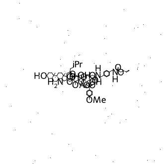 C=CCOC(=O)NCc1ccc(CNC(=O)OC2COC(OC3C(O)COC(OC4C[C@@]5(N)C6CC=C7CC(O)CCC7(C)C6CCC5(C)[C@@]4(O)[C@H](C)C(=O)CCC(C)C)C3OC(C)=O)C(OC(=O)c3ccc(OC)cc3)C2O)cc1